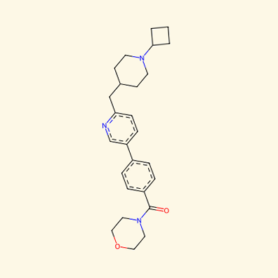 O=C(c1ccc(-c2ccc(CC3CCN(C4CCC4)CC3)nc2)cc1)N1CCOCC1